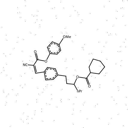 CCCC(CCc1ccc(C=C(C#N)C(=O)Oc2ccc(OC)cc2)cc1)OC(=O)C1CCCCC1